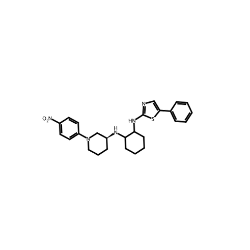 O=[N+]([O-])c1ccc(N2CCC[C@H](NC3CCCCC3Nc3ncc(-c4ccccc4)s3)C2)cc1